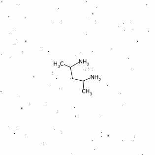 CC(N)[CH]C(C)N